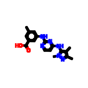 Cc1cc(Nc2nccc(Nc3c(C)c(C)nn3C)n2)cc(C(=O)O)c1